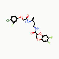 C=C(CCNC(=O)C1COc2cc(F)c(F)cc2O1)NC(=O)COc1ccc(Cl)c(F)c1